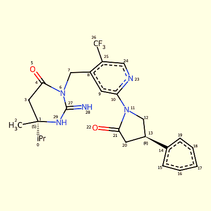 CC(C)[C@]1(C)CC(=O)N(Cc2cc(N3C[C@@H](c4ccccc4)CC3=O)ncc2C(F)(F)F)C(=N)N1